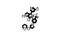 COc1cncc(-c2nn(-c3cc(N4CC[C@H](OC5CCCCO5)C4)ccc3C(F)(F)F)c(=O)c3c2CCN3)c1